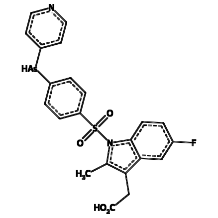 Cc1c(CC(=O)O)c2cc(F)ccc2n1S(=O)(=O)c1ccc([AsH]c2ccncc2)cc1